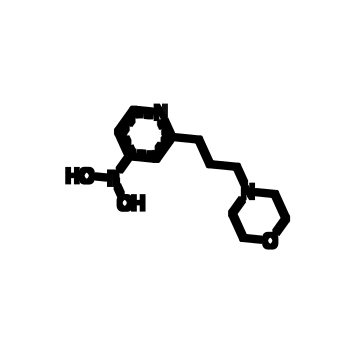 OB(O)c1ccnc(CCCN2CCOCC2)c1